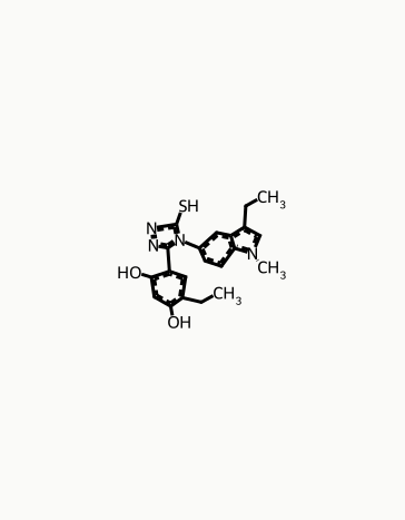 CCc1cc(-c2nnc(S)n2-c2ccc3c(c2)c(CC)cn3C)c(O)cc1O